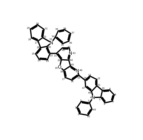 c1ccc(-n2c3ccccc3c3ccc(-c4ccc5oc6c(-c7cccc8c9ccccc9n(-c9ccccc9)c78)ccnc6c5n4)cc32)cc1